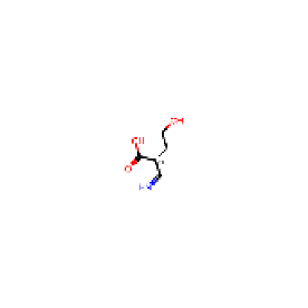 N=C[C@@H](CCO)C(=O)O